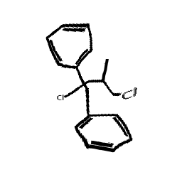 CC(Cl)C(Cl)(c1ccccc1)c1ccccc1